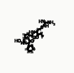 N=C(N)NCCCC(NC(=O)C1CCCN1C(=O)[C@H](NC(=O)O)c1cccnc1)C(=O)CF